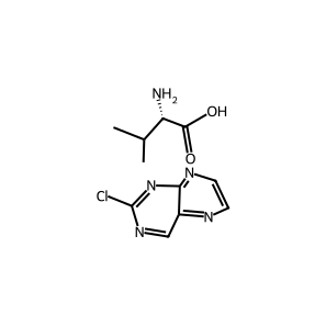 CC(C)[C@H](N)C(=O)O.Clc1ncc2nccnc2n1